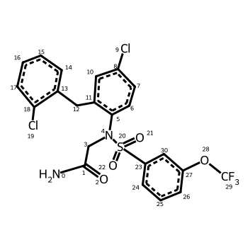 NC(=O)CN(c1ccc(Cl)cc1Cc1ccccc1Cl)S(=O)(=O)c1cccc(OC(F)(F)F)c1